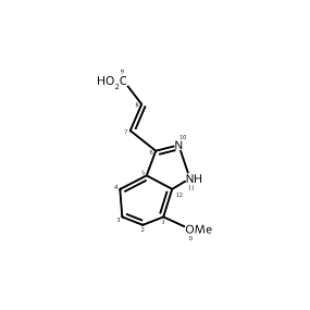 COc1cccc2c(C=CC(=O)O)n[nH]c12